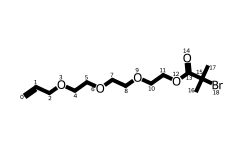 C=CCOCCOCCOCCOC(=O)C(C)(C)Br